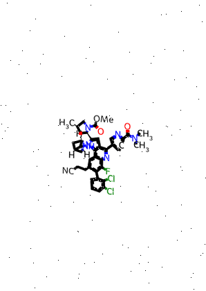 COC(=O)N1C[C@@H](C)C[C@@H]1c1cc2c(-c3ccc(C(=O)N(C)C)nc3)nc3c(F)c(-c4cccc(Cl)c4Cl)c(CCC#N)cc3c2n1[C@H]1[C@H]2CN[C@@H]1C2